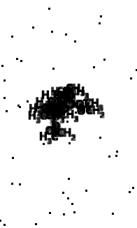 C=C(C)C(=O)OCCC[Si](O[Si](C)(C)C)(O[Si](C)(C)C)O[Si](C)(C)O[Si](C)(C)O[Si](CCCOC(=O)C(=C)C)(O[Si](C)(C)C)O[Si](C)(C)C